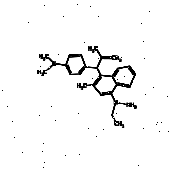 C=C(C)C(c1ccc(N(C)C)cc1)c1c(C)cc(N(N)CC)c2ccccc12